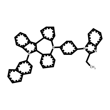 CCc1nc2ccccc2n1-c1ccc(N2c3ccccc3-c3c(n(-c4ccc5ccccc5c4)c4ccccc34)-c3ccccc32)cc1